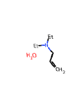 C=CCN(CC)CC.O